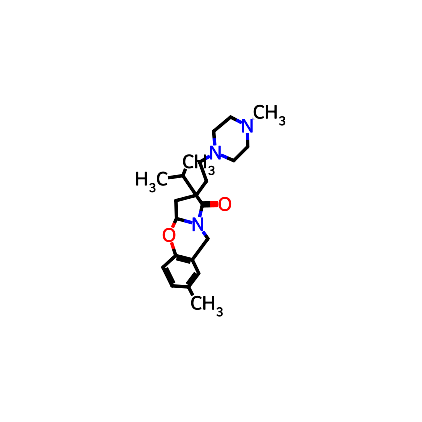 Cc1ccc2c(c1)CN1C(=O)C(CCN3CCN(C)CC3)(C(C)C)CC1O2